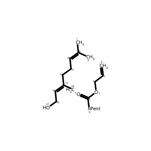 C=CCOC(=O)CCCCC.CC(C)=CCC/C(C)=C/CO